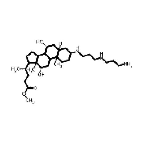 COC(=O)CC[C@@H](C)C1CCC2C3C(C[C@H](O)[C@@]21C)[C@@]1(C)CC[C@H](NCCCNCCCN)C[C@H]1C[C@H]3O